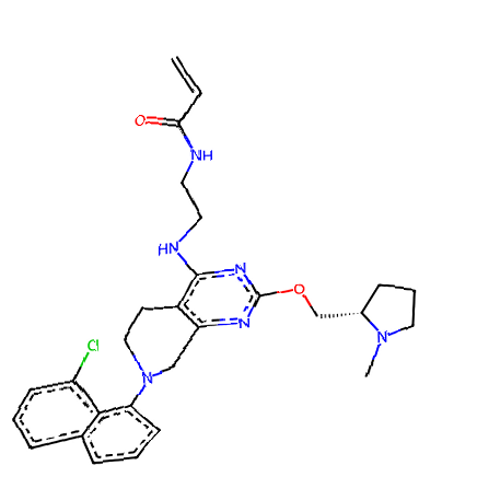 C=CC(=O)NCCNc1nc(OC[C@@H]2CCCN2C)nc2c1CCN(c1cccc3cccc(Cl)c13)C2